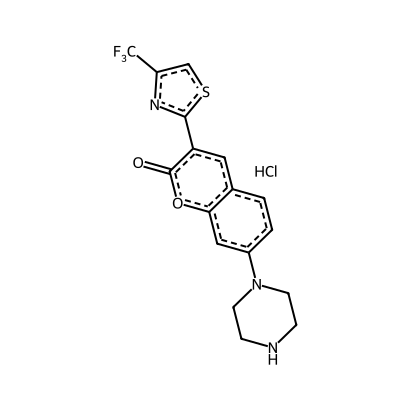 Cl.O=c1oc2cc(N3CCNCC3)ccc2cc1-c1nc(C(F)(F)F)cs1